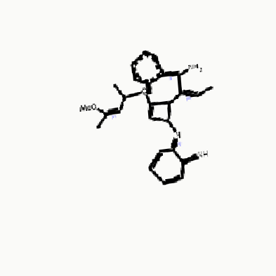 C=c1cccc/c1=C(N)/C(=C\C)C1C(OC(C)/C=C(/C)OC)=CC1/N=C1\C=CC=CC1=N